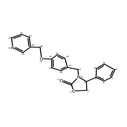 O=C1OCC(c2ccccc2)N1Cc1ccc(OCc2cccnc2)cc1